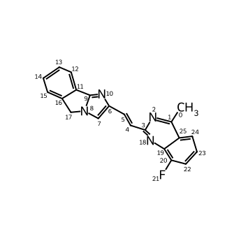 Cc1nc(C=Cc2cn3c(n2)-c2ccccc2C3)nc2c(F)cccc12